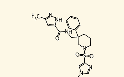 Cn1cnc(S(=O)(=O)N2CCCC(CNC(=O)c3cc(C(F)(F)F)n[nH]3)(c3ccccc3)C2)c1